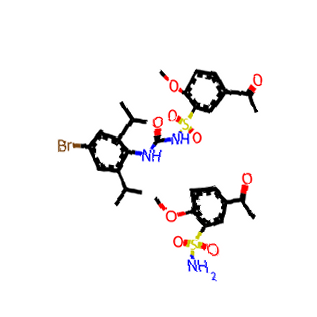 COc1ccc(C(C)=O)cc1S(=O)(=O)NC(=O)Nc1c(C(C)C)cc(Br)cc1C(C)C.COc1ccc(C(C)=O)cc1S(N)(=O)=O